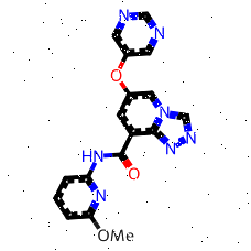 COc1cccc(NC(=O)c2cc(Oc3cncnc3)cn3cnnc23)n1